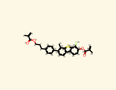 C=C(C)C(=O)OCCCc1ccc(-c2ccc3c(sc4c(F)c(OC(=O)C(=C)C)ccc43)c2C)cc1